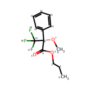 CCCOC(=O)[C@](OC)(c1ccccc1)C(F)(F)F